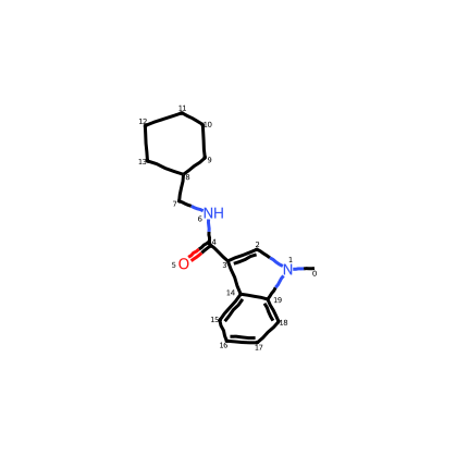 Cn1cc(C(=O)NCC2CCCCC2)c2ccccc21